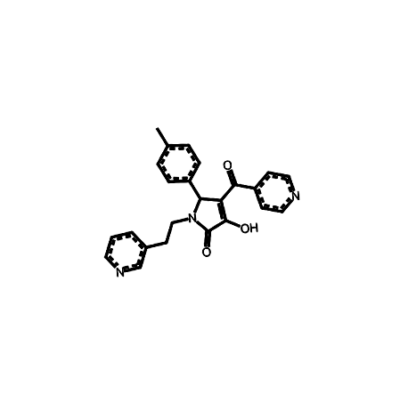 Cc1ccc(C2C(C(=O)c3ccncc3)=C(O)C(=O)N2CCc2cccnc2)cc1